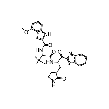 COc1cccc2[nH]c(C(=O)N[C@H](C(=O)N[C@@H](C[C@@H]3CCNC3=O)C(=O)c3nc4ccccc4s3)C(C)(C)C)cc12